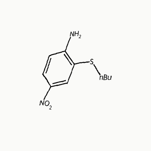 CCCCSc1cc([N+](=O)[O-])ccc1N